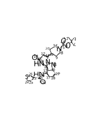 CC(C)(C)OC(=O)N1CCC(c2cc(=O)[nH]c3c4c(NC(=O)c5ccsc5)cccc4nn23)CC1